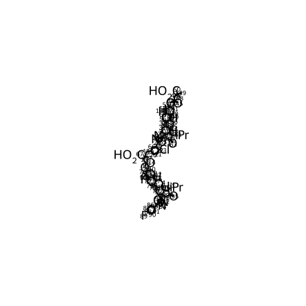 CC(C)C1=C2[C@H]3CC[C@@H]4[C@@]5(C)CC[C@H](OC(=O)CC(C)(Cc6ccc(Cl)c(-c7nnc([C@@]89CC[C@]%10(C)[C@H](CC[C@@H]%11[C@@]%12(C)CC[C@H](OC(=O)CC(C)(C)C(=O)O)C(C)(C)[C@@H]%12CC[C@]%11%10C)C8=C(C(C)C)C(=O)C9)o7)c6)C(=O)O)C(C)(C)[C@@H]5CC[C@@]4(C)[C@]3(C)CC[C@@]2(c2nnc(-c3ccc(F)cc3)o2)CC1=O